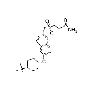 CC(C)(C)[C@H]1CC[C@H](Oc2ccc3cc(CS(=O)(=O)CCC(N)=O)ccc3c2)CC1